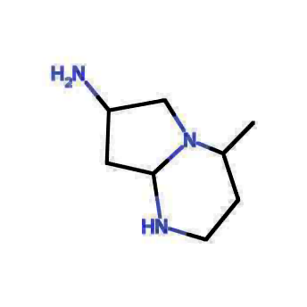 CC1CCNC2CC(N)CN12